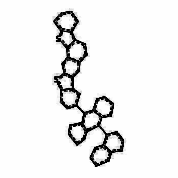 c1ccc2c(-c3c4ccccc4c(-c4ccc5sc6cc7c(ccc8c9ccccc9sc78)cc6c5c4)c4ccccc34)cccc2c1